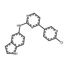 Clc1ccc(-c2ccnc(Nc3ccc4[nH]ccc4c3)n2)cn1